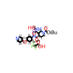 CC(C)COC(=O)N1CC[C@H](C(=O)Nc2ccc(Oc3ccncc3)cc2)[C@@H](C(=O)NO)C1.O=C(O)C(F)(F)F